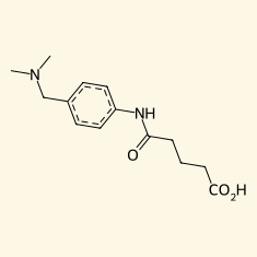 CN(C)Cc1ccc(NC(=O)CCCC(=O)O)cc1